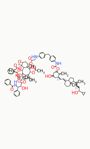 C=C1/C(=C\C=C2/CCC[C@@]3(C)C2CCC3[C@@H](C)/C=C/C(O)C2CC2)C[C@@H](O)C[C@@H]1OC(=O)Nc1ccc(Cc2ccc(NCC(=O)OC3CC4OCC4(OC(C)=O)C4C(OC(=O)c5ccccc5)C5(O)CC(OC(=O)C(O)C(NC(=O)c6ccccc6)c6ccccc6)C(C)=C(C(OC(C)=O)C(=O)C34C)C5(C)C)cc2)cc1